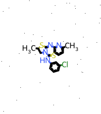 Cc1cccc(/N=C2/SC(C)CN2C(=S)Nc2cccc(Cl)c2)n1